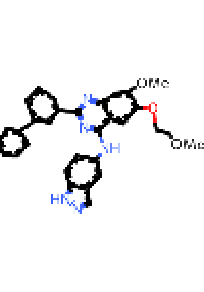 COCCOc1cc2c(Nc3ccc4[nH]ncc4c3)nc(-c3cccc(-c4ccccc4)c3)nc2cc1OC